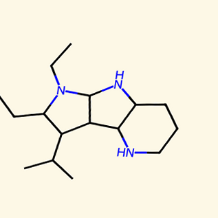 CCC1C(C(C)C)C2C3NCCCC3NC2N1CC